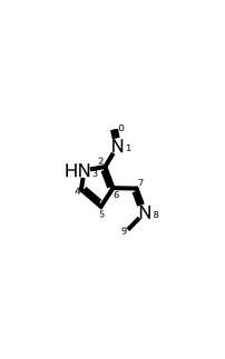 C=Nc1[nH]ccc1/C=N\C